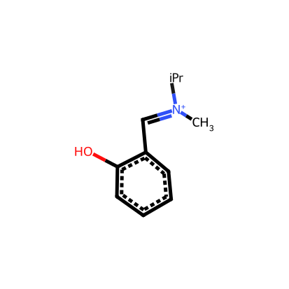 CC(C)/[N+](C)=C/c1ccccc1O